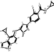 Cn1nc(-c2ccc(C(=O)NC3CC3)c(F)c2)nc1Nc1ccc2[nH]ncc2c1C1CC1